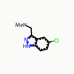 CNCc1n[nH]c2ccc(Cl)cc12